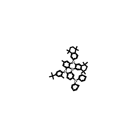 Cc1cc2c3c(c1)N(c1ccc(C(C)(C)C)cc1C)c1ccc(N(c4ccccc4)c4ccccc4)cc1B3c1cc3c(cc1N2c1ccc2c(c1)C(C)(C)CCC2(C)C)C(C)(C)CCC3(C)C